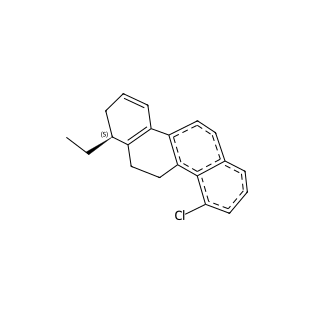 CC[C@H]1CC=CC2=C1CCc1c2ccc2cccc(Cl)c12